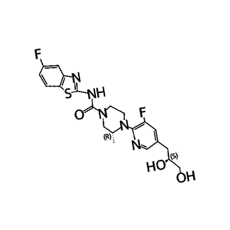 C[C@@H]1CN(C(=O)Nc2nc3cc(F)ccc3s2)CCN1c1ncc(C[C@H](O)CO)cc1F